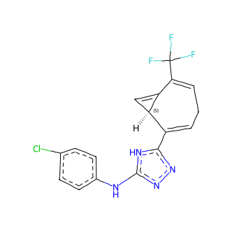 FC(F)(F)C1=CCC=C(c2nnc(Nc3ccc(Cl)cc3)[nH]2)[C@H]2C=C12